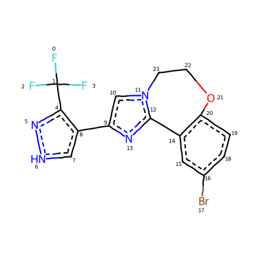 FC(F)(F)c1n[nH]cc1-c1cn2c(n1)-c1cc(Br)ccc1OCC2